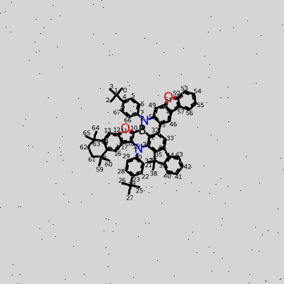 CC(C)(C)c1ccc(N2B3c4oc5cc6c(cc5c4N(c4ccc(C(C)(C)C)cc4)c4c3c(cc3c4C(C)(C)c4ccccc4-3)-c3cc4c(cc32)oc2ccccc24)C(C)(C)CCC6(C)C)cc1